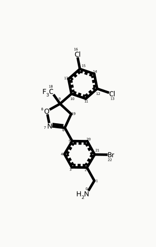 NCc1ccc(C2=NOC(c3cc(Cl)cc(Cl)c3)(C(F)(F)F)C2)cc1Br